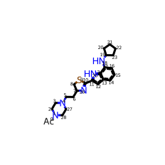 CC(=O)N1CCN(CCC2CSC(c3cc4cccc(NC5CCCC5)c4[nH]3)=N2)CC1